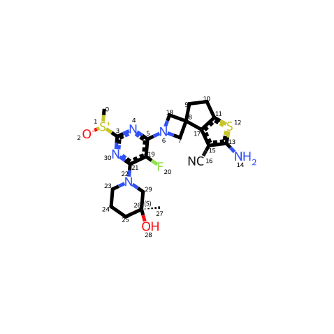 C[S+]([O-])c1nc(N2CC3(CCc4sc(N)c(C#N)c43)C2)c(F)c(N2CCC[C@](C)(O)C2)n1